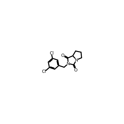 O=C1C2CCCN2C(=O)N1Cc1cc(Cl)cc(Cl)c1